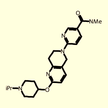 CNC(=O)c1ccc(N2CCc3nc(OC4CCN(C(C)C)CC4)ccc3C2)nc1